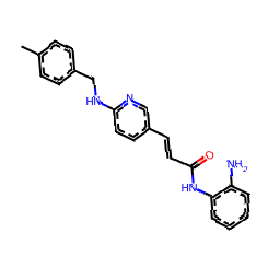 Cc1ccc(CNc2ccc(/C=C/C(=O)Nc3ccccc3N)cn2)cc1